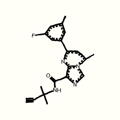 C#CC(C)(C)NC(=O)c1ncn2c(C)cc(-c3cc(C)cc(F)c3)nc12